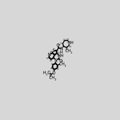 Cc1cc(OC(C)C)ccc1N1C(=O)Nc2c(C(=O)N[C@@H]3CCCNC[C@@H]3C)sc3nccc1c23